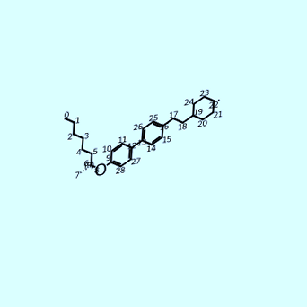 CCCCCC[C@@H](C)Oc1ccc(-c2ccc(CCC3CC[CH]CC3)cc2)cc1